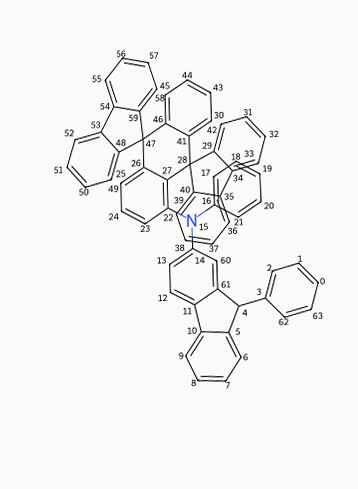 c1ccc(C2c3ccccc3-c3ccc(N(c4ccccc4)c4cccc5c4C4(c6ccccc6-c6ccccc64)c4ccccc4C54c5ccccc5-c5ccccc54)cc32)cc1